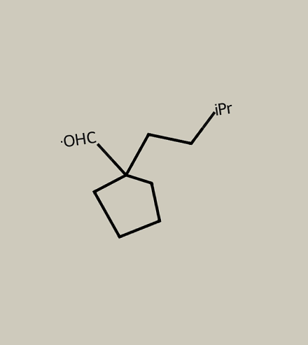 CC(C)CCC1([C]=O)CCCC1